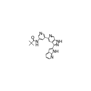 CC(C)(C)C(=O)Nc1cncc(-c2cc3c(-c4cc5cccnc5[nH]4)n[nH]c3cn2)c1